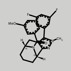 COc1cncc(C(=O)N2[C@@H]3CCC[C@H]2c2nn(C)c(-c4cc(F)cc(F)c4)c2C3)c1